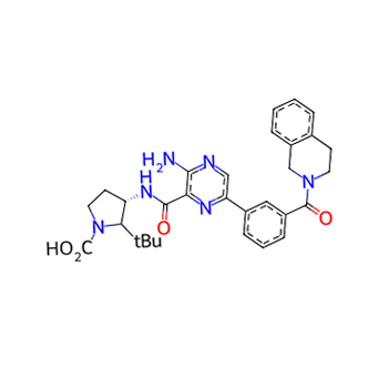 CC(C)(C)C1[C@@H](NC(=O)c2nc(-c3cccc(C(=O)N4CCc5ccccc5C4)c3)cnc2N)CCN1C(=O)O